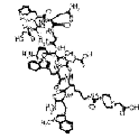 CC(NC(=O)CS)C(=O)N(C)C(Cc1cccnc1)C(=O)NC(CC(N)=O)C(=O)NCC(=O)NC(CCCC(N)=O)C(=O)N(C)[C@@H](CCC(=O)O)C(=O)NC(Cc1cn(C)c2ccccc12)C(=O)NC(CCCCNC(=O)N1CCN(CC(=O)O)CC1)C(=O)NC(Cc1cn(C)c2ccccc12)C(N)=O